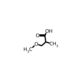 COCC(C)C(=O)O